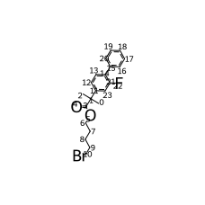 CC(C)(C(=O)OCCCCBr)c1ccc(-c2ccccc2)c(F)c1